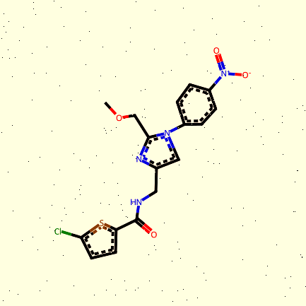 COCc1nc(CNC(=O)c2ccc(Cl)s2)cn1-c1ccc([N+](=O)[O-])cc1